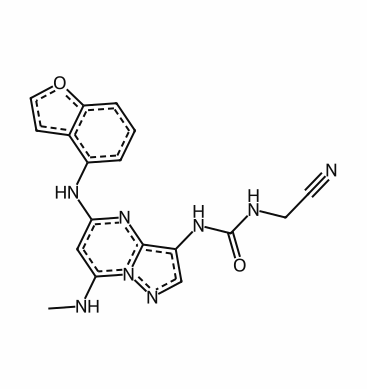 CNc1cc(Nc2cccc3occc23)nc2c(NC(=O)NCC#N)cnn12